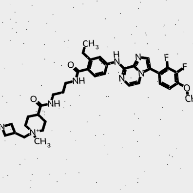 CCc1cc(Nc2nccn3c(-c4ccc(OC)c(F)c4F)cnc23)ccc1C(=O)NCCCNC(=O)C1CC[N+](C)(CC2CNC2)CC1